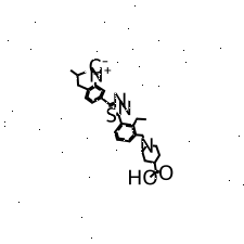 [C-]#[N+]c1cc(-c2nnc(-c3cccc(CN4CCC(C(=O)O)CC4)c3CC)s2)ccc1CC(C)C